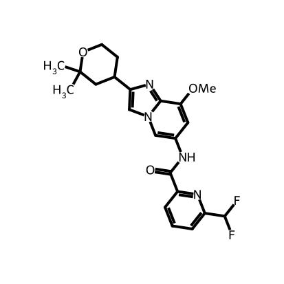 COc1cc(NC(=O)c2cccc(C(F)F)n2)cn2cc(C3CCOC(C)(C)C3)nc12